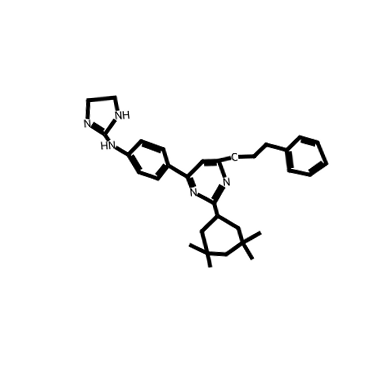 CC1(C)CC(c2nc(CCCc3ccccc3)cc(-c3ccc(NC4=NCCN4)cc3)n2)CC(C)(C)C1